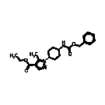 CCOC(=O)c1cnn([C@H]2CC[C@H](NC(=O)OCc3ccccc3)CC2)c1C